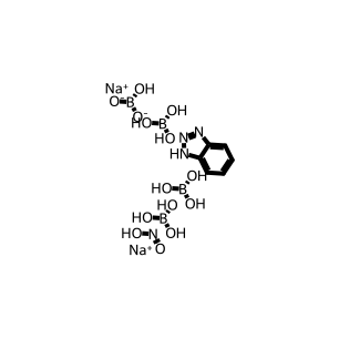 O=NO.OB(O)O.OB(O)O.OB(O)O.[Na+].[Na+].[O-]B([O-])O.c1ccc2[nH]nnc2c1